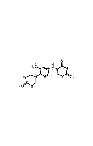 Cc1cc(NC2CCC(=O)NC2=O)ccc1N1CCC(=O)CC1